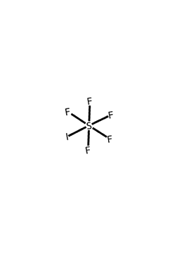 FS(F)(F)(F)(F)I